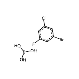 Fc1cc(Cl)cc(Br)c1.OB(O)O